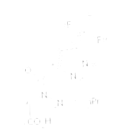 CC(C)c1nn(CC(=O)O)c(=O)c2cc(C(C)(F)F)nn12